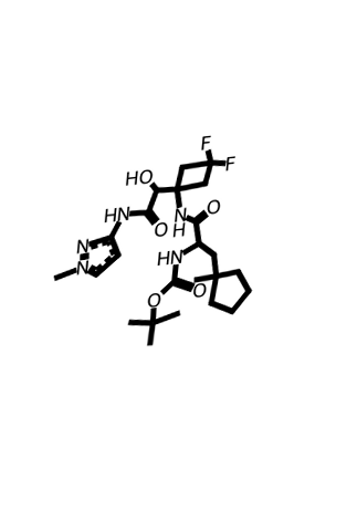 Cn1ccc(NC(=O)C(O)C2(NC(=O)C(CC3(C)CCCC3)NC(=O)OC(C)(C)C)CC(F)(F)C2)n1